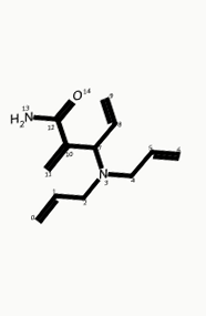 C=CCN(CC=C)C(C=C)C(=C)C(N)=O